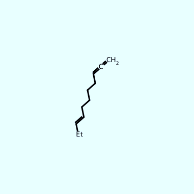 C=C=CCCCCC=CCC